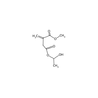 C=C(CC(=O)OC(C)O)C(=O)OC